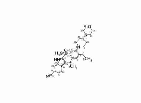 C=C1c2cc(CC)c(N3CCC(N4CCOCC4)CC3)cc2C(C)(C)c2[nH]c3cc(C#N)ccc3c21